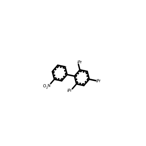 CC(C)c1cc(C(C)C)c(-c2[c]ccc([N+](=O)[O-])c2)c(C(C)C)c1